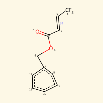 O=C(/C=C/C(F)(F)F)OCc1ccccc1